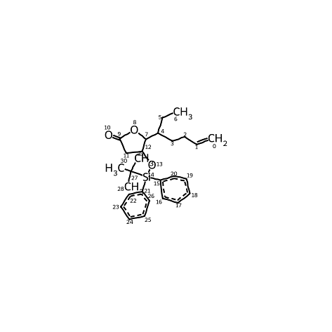 C=CCCC(CC)C1OC(=O)CC1O[Si](c1ccccc1)(c1ccccc1)C(C)(C)C